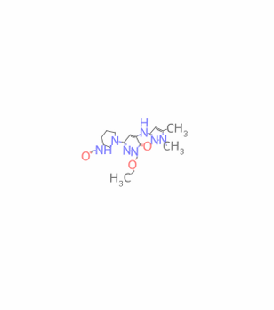 CCOCn1nc(N2CCCC(NC=O)C2)cc(Nc2cc(C)n(C)n2)c1=O